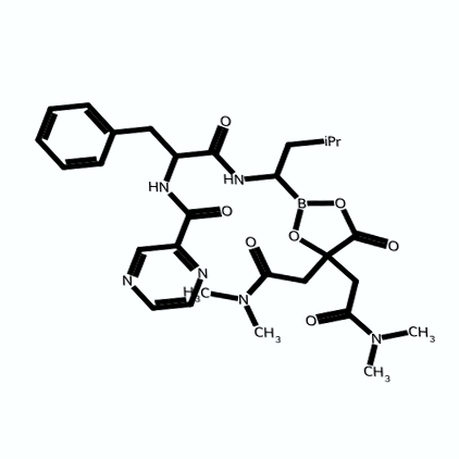 CC(C)CC(NC(=O)C(Cc1ccccc1)NC(=O)c1cnccn1)B1OC(=O)C(CC(=O)N(C)C)(CC(=O)N(C)C)O1